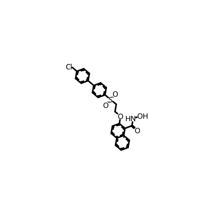 O=C(NO)c1c(OCCS(=O)(=O)c2ccc(-c3ccc(Cl)cc3)cc2)ccc2ccccc12